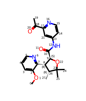 COc1cccnc1[C@@H]1[C@@H](C(=O)Nc2ccnc(C(C)=O)c2)OC(C)(C)[C@@H]1C